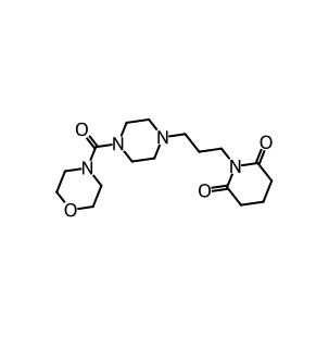 O=C(N1CCOCC1)N1CCN(CCCN2C(=O)CCCC2=O)CC1